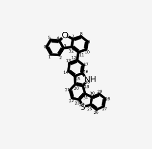 c1ccc2c(c1)oc1cccc(-c3ccc4c(c3)[nH]c3c4ccc4sc5ccccc5c43)c12